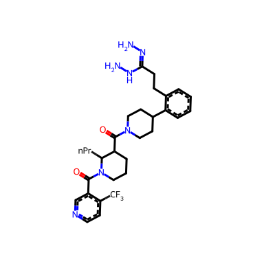 CCCC1C(C(=O)N2CCC(c3ccccc3CC/C(=N/N)NN)CC2)CCCN1C(=O)c1cnccc1C(F)(F)F